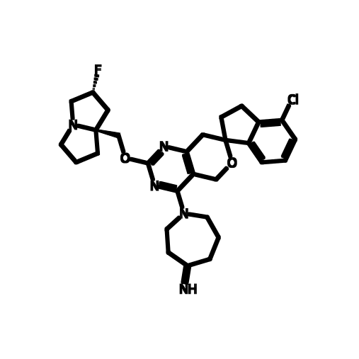 N=C1CCCN(c2nc(OC[C@@]34CCCN3C[C@H](F)C4)nc3c2COC2(CCc4c(Cl)cccc42)C3)CC1